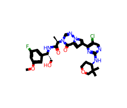 COc1cc(F)cc([C@@H](CO)NC(=O)[C@@H](C)n2cnn3cc(-c4nc(N[C@@H]5CCOCC5(C)C)ncc4Cl)cc3c2=O)c1